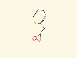 C1=C(CC2CO2)SCCC1